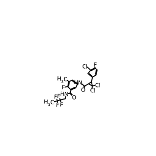 Cc1cc(NC(=O)C2C(c3ccc(F)c(Cl)c3)C2(Cl)Cl)cc(C(=O)NCC(F)(F)C(C)(F)F)c1F